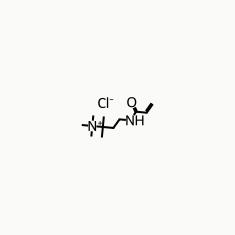 C=CC(=O)NCCC(C)(C)[N+](C)(C)C.[Cl-]